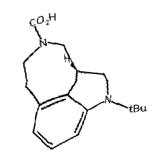 CC(C)(C)N1C[C@H]2CN(C(=O)O)CCc3cccc1c32